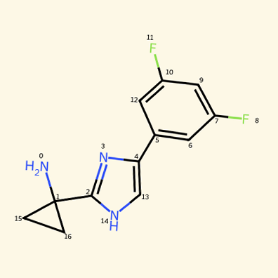 NC1(c2nc(-c3cc(F)cc(F)c3)c[nH]2)CC1